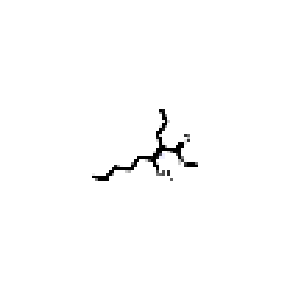 CCCCC/C(N)=C(\CCC)C(=O)OC